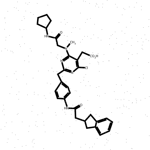 CN(CC(=O)NC1CCCC1)c1nc(Cc2ccc(NC(=O)CC3Cc4ccccc4C3)cc2)nc(Cl)c1CC(=O)O